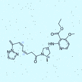 C=C(/C=C\C=C/CC(=O)N1C[C@H](Nc2nccc(OC)c2C(=O)OCC)C[C@H]1C)n1nccn1